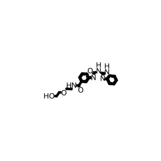 O=C(NCCOCCO)c1ccc2oc(Nc3nc4ccccc4[nH]3)nc2c1